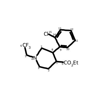 CCOC(=O)C1CCN(CC(F)(F)F)CC1c1ccccc1Cl